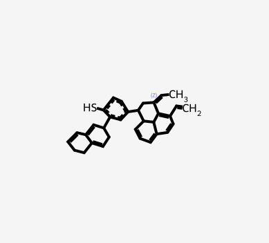 C=CC1=C2/C(=C\C)CC(c3ccc(S)c(C4C=C5C=CCCC5=CC4)c3)C3C=CC=C(C=C1)C23